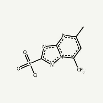 Cc1cc(C(F)(F)F)n2nc(S(=O)(=O)Cl)nc2n1